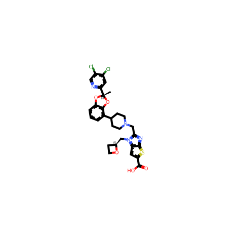 C[C@]1(c2cc(Cl)c(Cl)cn2)Oc2cccc(C3CCN(Cc4nc5sc(C(=O)O)cc5n4C[C@@H]4CCO4)CC3)c2O1